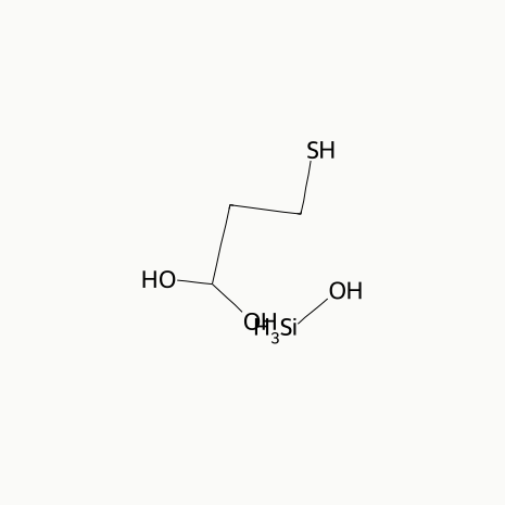 OC(O)CCS.O[SiH3]